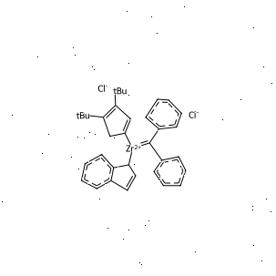 CC(C)(C)C1=C(C(C)(C)C)C[C]([Zr+2](=[C](c2ccccc2)c2ccccc2)[CH]2C=Cc3ccccc32)=C1.[Cl-].[Cl-]